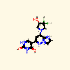 O=c1[nH]cc(-c2cc(N3C[C@@H](O)C(F)(F)C3)c3nccn3n2)c(=O)[nH]1